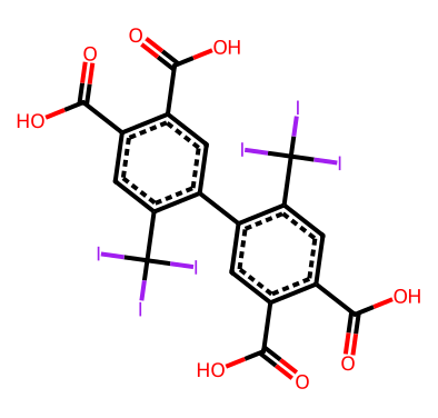 O=C(O)c1cc(-c2cc(C(=O)O)c(C(=O)O)cc2C(I)(I)I)c(C(I)(I)I)cc1C(=O)O